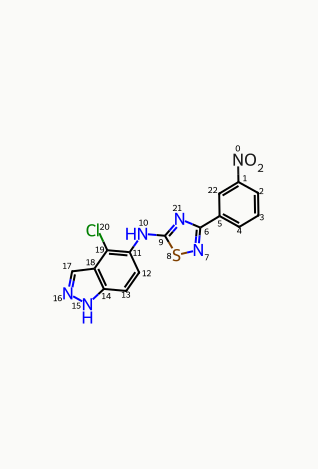 O=[N+]([O-])c1cccc(-c2nsc(Nc3ccc4[nH]ncc4c3Cl)n2)c1